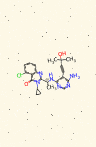 C[C@H](Nc1ncnc(N)c1C#CC(C)(C)O)c1nc2cccc(Cl)c2c(=O)n1C1CC1